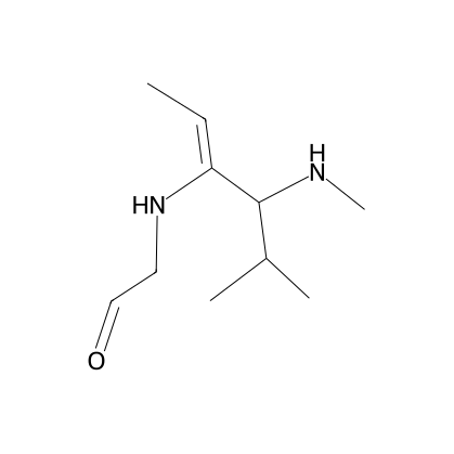 C/C=C(\NCC=O)C(NC)C(C)C